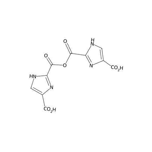 O=C(O)c1c[nH]c(C(=O)OC(=O)c2nc(C(=O)O)c[nH]2)n1